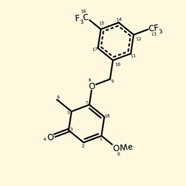 COC1=CC(=O)C(C)C(OCc2cc(C(F)(F)F)cc(C(F)(F)F)c2)=C1